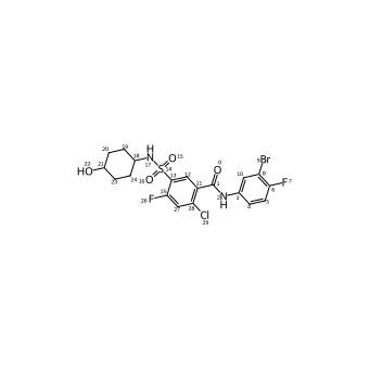 O=C(Nc1ccc(F)c(Br)c1)c1cc(S(=O)(=O)NC2CCC(O)CC2)c(F)cc1Cl